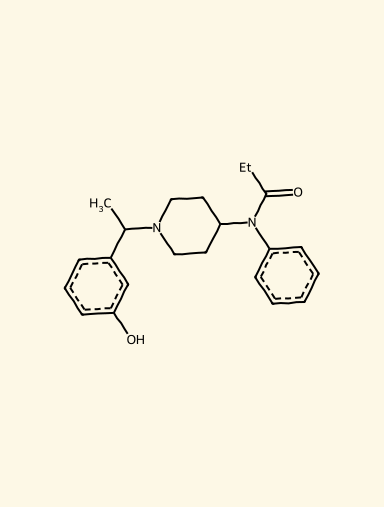 CCC(=O)N(c1ccccc1)C1CCN(C(C)c2cccc(O)c2)CC1